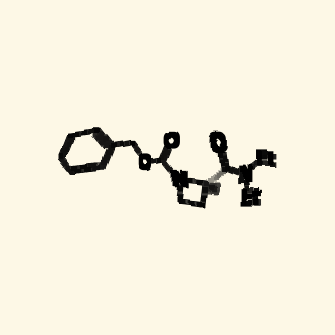 CCN(CC)C(=O)[C@@H]1CCN1C(=O)OCc1ccccc1